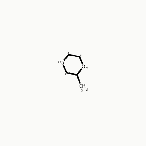 CC1COCCO1